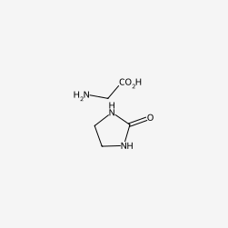 NCC(=O)O.O=C1NCCN1